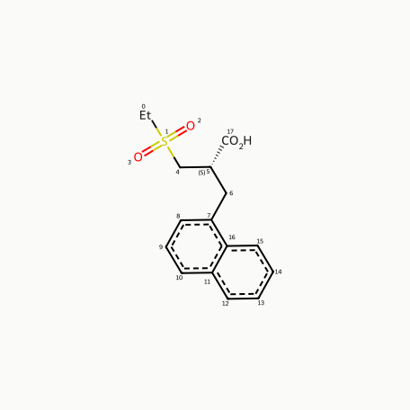 CCS(=O)(=O)C[C@@H](Cc1cccc2ccccc12)C(=O)O